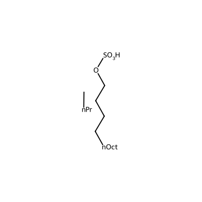 CCCC.CCCCCCCCCCCCOS(=O)(=O)O